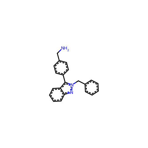 NCc1ccc(-c2c3ccccc3nn2Cc2ccccc2)cc1